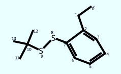 [CH2]Cc1ccccc1SSC(C)(C)C